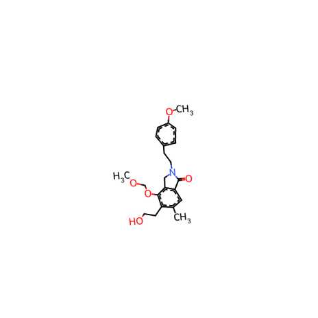 COCOc1c(CCO)c(C)cc2c1CN(CCc1ccc(OC)cc1)C2=O